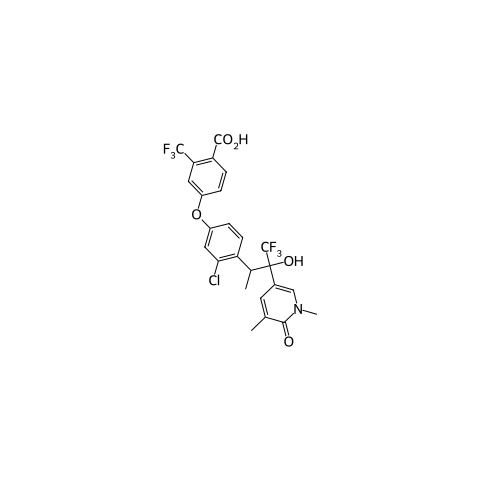 Cc1cc(C(O)(C(C)c2ccc(Oc3ccc(C(=O)O)c(C(F)(F)F)c3)cc2Cl)C(F)(F)F)cn(C)c1=O